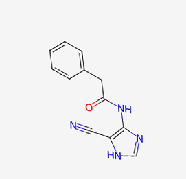 N#Cc1[nH]cnc1NC(=O)Cc1ccccc1